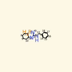 CN(P)/C(=N\C1CCCCC1)NCc1ccccc1